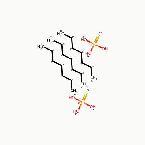 CCCCCCC.CCCCCCC.CCCCCCC.OP(O)(O)=S.OP(O)(O)=S